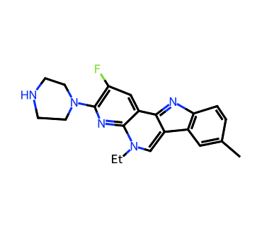 CCn1cc2c3cc(C)ccc3nc-2c2cc(F)c(N3CCNCC3)nc21